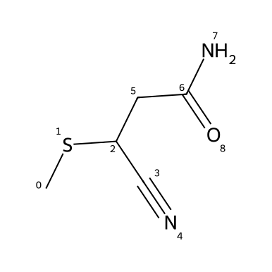 CSC(C#N)CC(N)=O